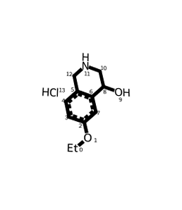 CCOc1ccc2c(c1)C(O)CNC2.Cl